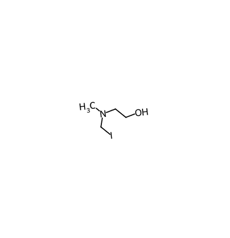 CN(CI)CCO